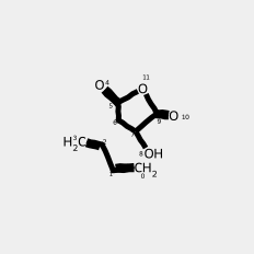 C=CC=C.O=C1CC(O)C(=O)O1